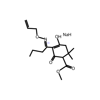 C=CCO/N=C(\CCC)C1=C(O)CC(C)(C)C(C(=O)OC)C1=O.[NaH]